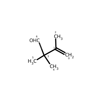 C=C(C)C(C)(C)C=O